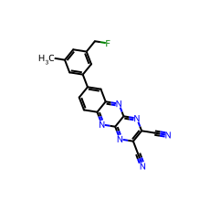 Cc1cc(CF)cc(-c2ccc3nc4nc(C#N)c(C#N)nc4nc3c2)c1